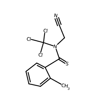 Cc1ccccc1C(=S)N(CC#N)C(Cl)(Cl)Cl